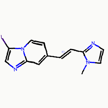 Cn1ccnc1/C=C/c1ccn2c(I)cnc2c1